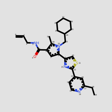 C=CCNC(=O)c1cc(-c2csc(-c3ccnc(CC)c3)n2)n(CC2CCCCC2)c1C